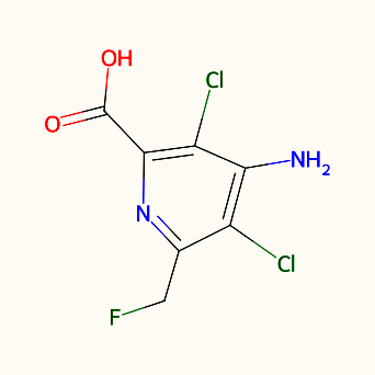 Nc1c(Cl)c(CF)nc(C(=O)O)c1Cl